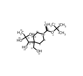 CC(C)(C)OC(=O)N1CCC(CO)(C(O)C(C)(O)O)CC1